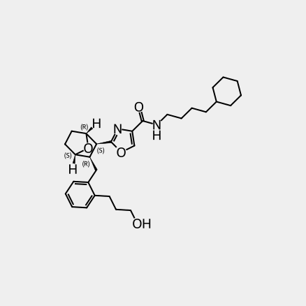 O=C(NCCCCC1CCCCC1)c1coc([C@H]2[C@@H](Cc3ccccc3CCCO)[C@@H]3CC[C@H]2O3)n1